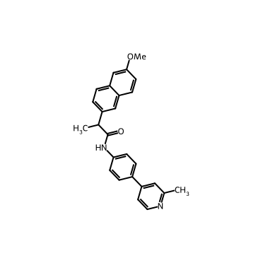 COc1ccc2cc(C(C)C(=O)Nc3ccc(-c4ccnc(C)c4)cc3)ccc2c1